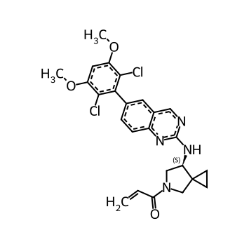 C=CC(=O)N1C[C@@H](Nc2ncc3cc(-c4c(Cl)c(OC)cc(OC)c4Cl)ccc3n2)C2(CC2)C1